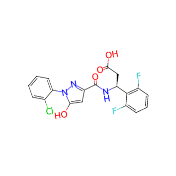 O=C(O)C[C@H](NC(=O)c1cc(O)n(-c2ccccc2Cl)n1)c1c(F)cccc1F